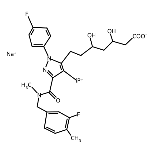 Cc1ccc(CN(C)C(=O)c2nn(-c3ccc(F)cc3)c(CCC(O)CC(O)CC(=O)[O-])c2C(C)C)cc1F.[Na+]